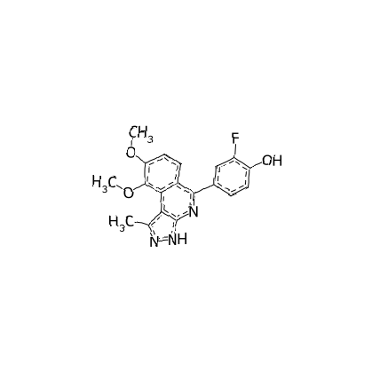 COc1ccc2c(-c3ccc(O)c(F)c3)nc3[nH]nc(C)c3c2c1OC